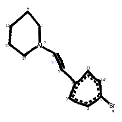 Brc1ccc(/C=C/N2CCCCC2)cc1